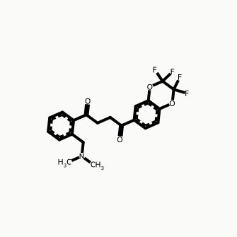 CN(C)Cc1ccccc1C(=O)CCC(=O)c1ccc2c(c1)OC(F)(F)C(F)(F)O2